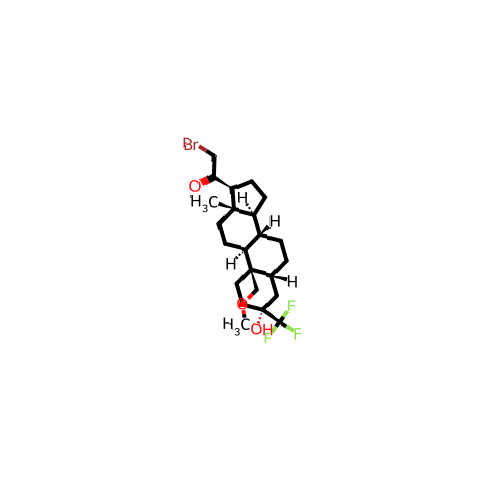 COC[C@]12CC[C@](O)(C(F)(F)F)C[C@H]1CC[C@H]1[C@@H]3CC[C@H](C(=O)CBr)[C@@]3(C)CC[C@@H]12